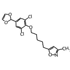 Cc1cc(CCCCCOc2c(Cl)cc(C3OC=CO3)cc2Cl)on1